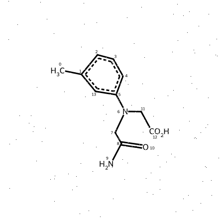 Cc1cccc(N(CC(N)=O)CC(=O)O)c1